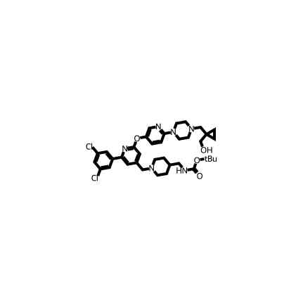 CC(C)(C)OC(=O)NCC1CCN(Cc2cc(Oc3ccc(N4CCN(CC5(CO)CC5)CC4)nc3)nc(-c3cc(Cl)cc(Cl)c3)c2)CC1